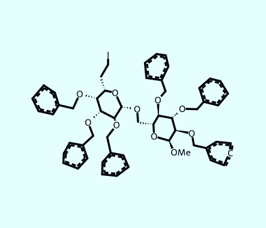 CO[C@H]1O[C@H](CO[C@H]2O[C@@H](CCI)[C@@H](OCc3ccccc3)[C@@H](OCc3ccccc3)[C@H]2OCc2ccccc2)[C@@H](OCc2ccccc2)[C@H](OCc2ccccc2)[C@H]1OCc1ccccc1